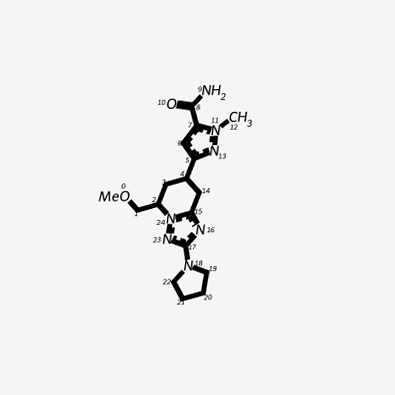 COCC1CC(c2cc(C(N)=O)n(C)n2)Cc2nc(N3CCCC3)nn21